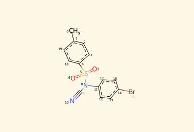 Cc1ccc(S(=O)(=O)N(C#N)c2ccc(Br)cc2)cc1